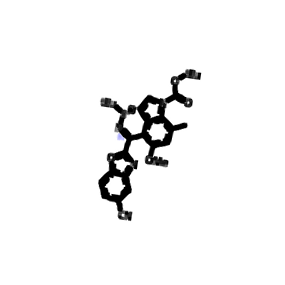 COc1cc(C)c2c(ccn2C(=O)OC(C)(C)C)c1/C(=N\[S+]([O-])C(C)(C)C)c1nc2cc(C#N)ccc2o1